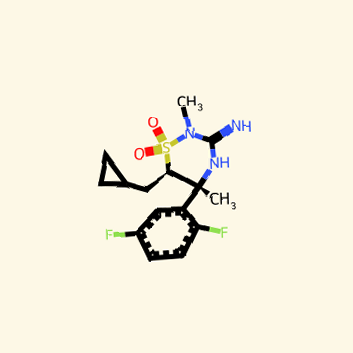 CN1C(=N)N[C@](C)(c2cc(F)ccc2F)[C@@H](CC2CC2)S1(=O)=O